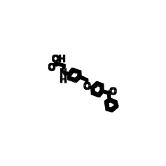 O=C(O)CNc1ccc(COc2ccc(C(=O)c3ccccc3)cc2)cc1